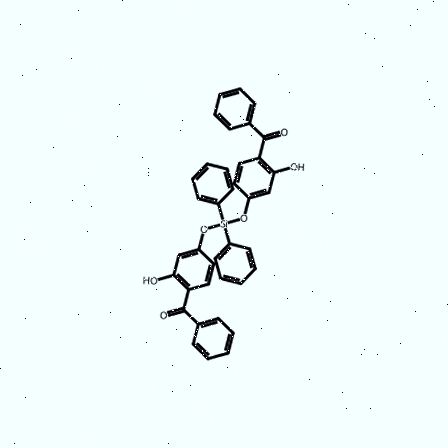 O=C(c1ccccc1)c1ccc(O[Si](Oc2ccc(C(=O)c3ccccc3)c(O)c2)(c2ccccc2)c2ccccc2)cc1O